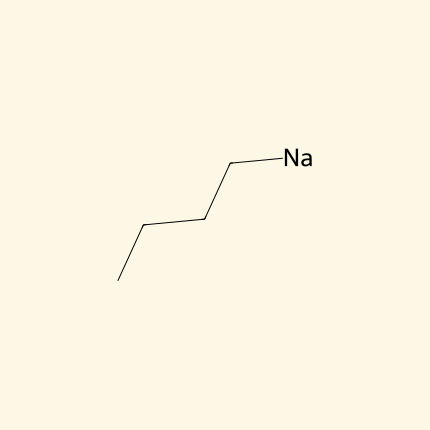 CCC[CH2][Na]